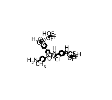 C[C@H](N)[C@H]1CC[C@H](C(=O)N2C[C@@H](C3CCN(S(C)(=O)=O)CC3)C[C@H]2c2nc(Cl)c(-c3ccc(NC(=O)O)cc3)[nH]2)CC1.O=C(O)C(F)(F)F.O=C(O)C(F)(F)F